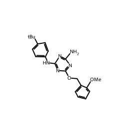 COc1ccccc1COc1nc(N)nc(Nc2ccc(C(C)(C)C)cc2)n1